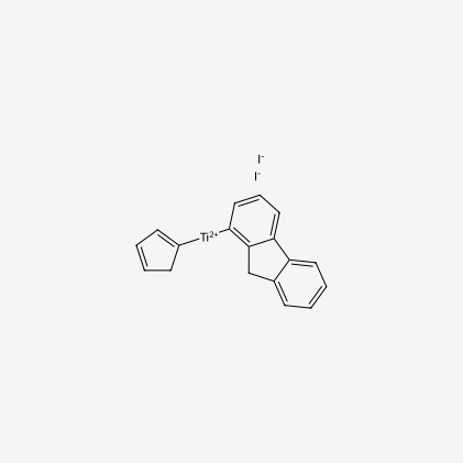 C1=CC[C]([Ti+2][c]2cccc3c2Cc2ccccc2-3)=C1.[I-].[I-]